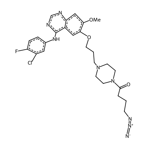 COc1cc2ncnc(Nc3ccc(F)c(Cl)c3)c2cc1OCCCN1CCN(C(=O)CCCN=[N+]=[N-])CC1